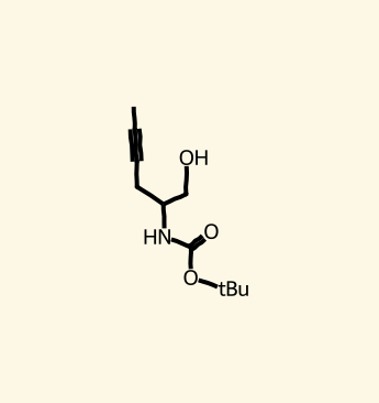 CC#CCC(CO)NC(=O)OC(C)(C)C